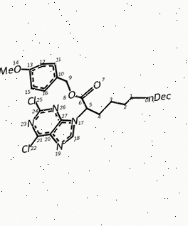 CCCCCCCCCCCCCCC(C(=O)OCc1ccc(OC)cc1)n1cnc2c(Cl)nc(Cl)nc21